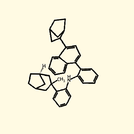 CC1(c2ccccc2Nc2ccccc2-c2ccc(C3CC4CCC3C4)c3ccccc23)CC2CC[C@H](C2)C1